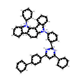 c1ccc(-c2ccc(-c3cc(-c4ccccc4)nc(-c4cccc(-n5c6ccccc6c6c5ccc5c7ccccc7n(-c7ccccc7)c56)c4)n3)cc2)cc1